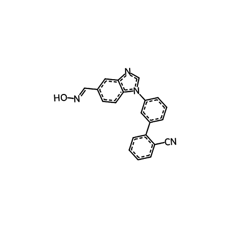 N#Cc1ccccc1-c1cccc(-n2cnc3cc(/C=N/O)ccc32)c1